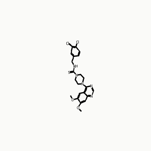 COc1cc2ncnc(N3CCN(C(=S)NCc4ccc(Cl)c(Cl)c4)CC3)c2cc1OC